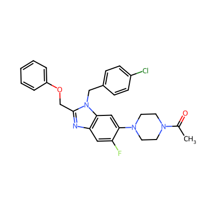 CC(=O)N1CCN(c2cc3c(cc2F)nc(COc2ccccc2)n3Cc2ccc(Cl)cc2)CC1